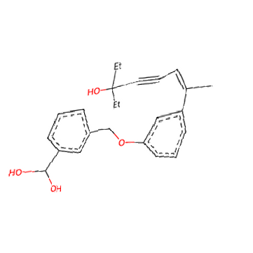 CCC(O)(C#C/C=C(/C)c1cccc(OCc2cccc(C(O)O)c2)c1)CC